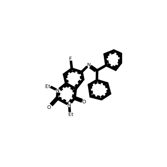 CCn1c(=O)c2cc(N=C(c3ccccc3)c3ccccc3)c(F)cc2n(CC)c1=O